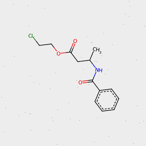 CC(CC(=O)OCCCl)NC(=O)c1ccccc1